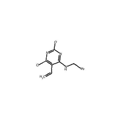 C=Cc1c(Cl)nc(Cl)nc1NCC(C)C